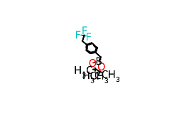 CC1(C)OB(Cc2ccc(CC(F)(F)F)cc2)OC1(C)C